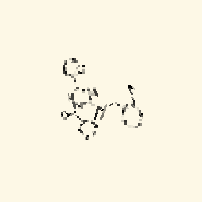 O=C(c1ccccc1)n1nc(-c2ccco2)nc1NCc1ccccc1F